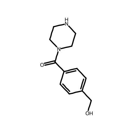 O=C(c1ccc(CO)cc1)N1CCNCC1